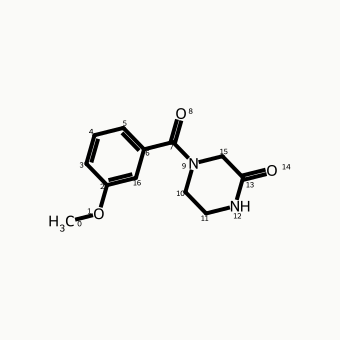 COc1cccc(C(=O)N2CCNC(=O)C2)c1